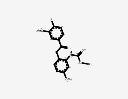 COc1ccc(CC(=O)c2ccc(F)c(OC)c2)c(NC(=O)OC(C)(C)C)c1